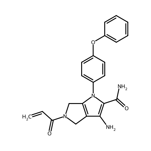 C=CC(=O)N1Cc2c(N)c(C(N)=O)n(-c3ccc(Oc4ccccc4)cc3)c2C1